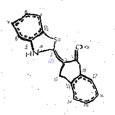 O=C1/C(=C2/Nc3ccccc3S2)Cc2ccccc21